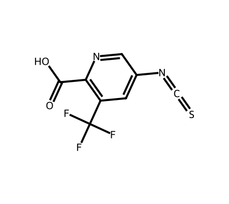 O=C(O)c1ncc(N=C=S)cc1C(F)(F)F